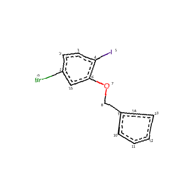 Brc1ccc(I)c(OCc2ccccc2)c1